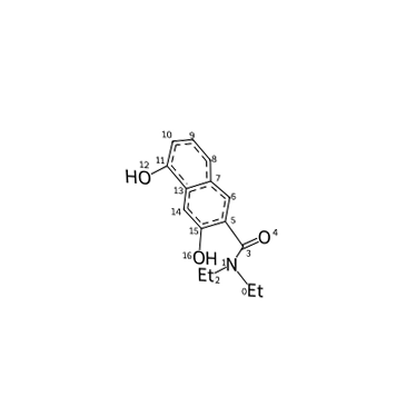 CCN(CC)C(=O)c1cc2cccc(O)c2cc1O